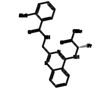 COC(=O)[C@@H](Nc1nc(CNC(=O)c2ccccc2SC)nc2ccccc12)C(C)C